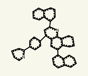 c1ccc(-c2ccc(-c3cc(-c4cccc5ccccc45)nc4c3cc(-c3cccc5ccccc35)c3ccccc34)cc2)nc1